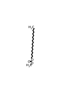 CCCCCCCCCCCCCCCCCCCOC(=O)OC